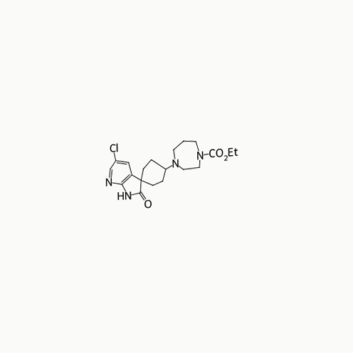 CCOC(=O)N1CCCN(C2CCC3(CC2)C(=O)Nc2ncc(Cl)cc23)CC1